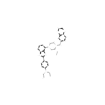 CC[C@H]1CN(c2cccc3nc(-c4ccc(N(CC)CC)cc4)[nH]c23)CCN1Cc1ccc2nccnc2c1